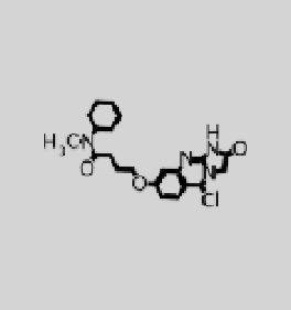 CN(C(=O)CCCOc1ccc2c(c1)N=C1NC(=O)CN1C2Cl)C1CCCCC1